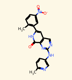 Cc1ccc(Nc2ncc3cc(-c4cc([N+](=O)[O-])ccc4C)[nH]c(=O)c3n2)cn1